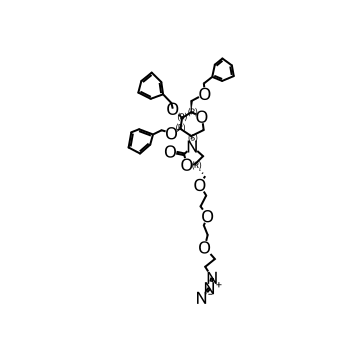 [N-]=[N+]=NCCOCCOCCOC[C@H]1CN([C@H]2CO[C@H](COCc3ccccc3)[C@H](OCc3ccccc3)[C@@H]2OCc2ccccc2)C(=O)O1